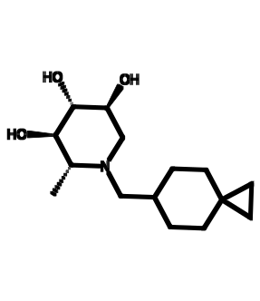 C[C@@H]1[C@@H](O)[C@H](O)[C@@H](O)CN1CC1CCC2(CC1)CC2